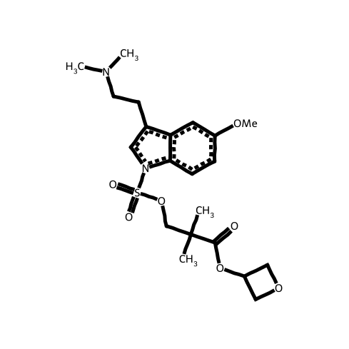 COc1ccc2c(c1)c(CCN(C)C)cn2S(=O)(=O)OCC(C)(C)C(=O)OC1COC1